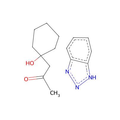 CC(=O)CC1(O)CCCCC1.c1ccc2[nH]nnc2c1